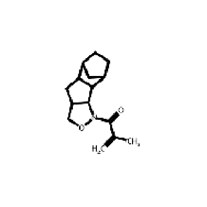 C=C(C)C(=O)N1OCC2CC3C4CCC(C4)C3C21